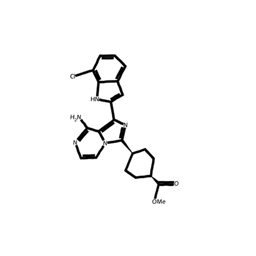 COC(=O)[C@H]1CC[C@@H](c2nc(-c3cc4cccc(Cl)c4[nH]3)c3c(N)nccn32)CC1